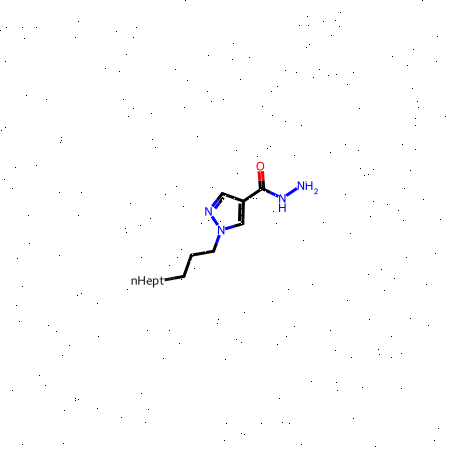 CCCCCCCCCCn1cc(C(=O)NN)cn1